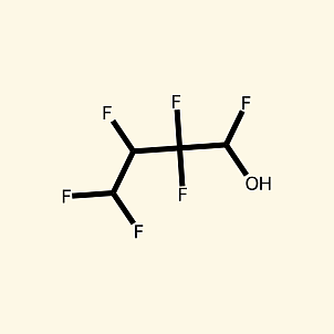 OC(F)C(F)(F)C(F)C(F)F